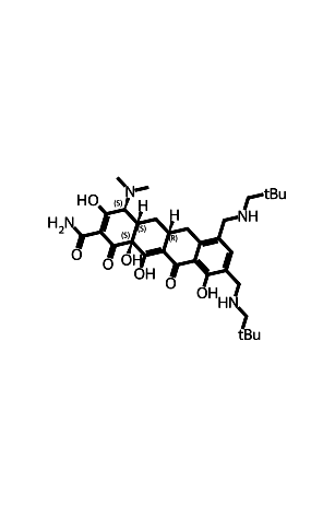 CN(C)[C@@H]1C(O)=C(C(N)=O)C(=O)[C@@]2(O)C(O)=C3C(=O)c4c(O)c(CNCC(C)(C)C)cc(CNCC(C)(C)C)c4C[C@H]3C[C@@H]12